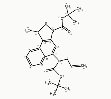 C=CCN(C(=O)OC(C)(C)C)c1cc2c(c3ccccc13)C(C)CN2C(=O)OC(C)(C)C